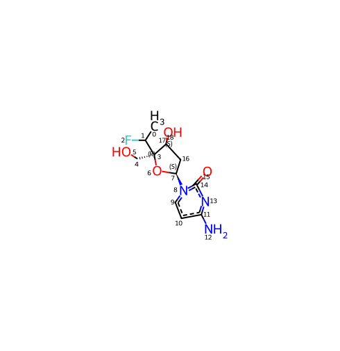 CC(F)[C@]1(CO)O[C@H](n2ccc(N)nc2=O)C[C@@H]1O